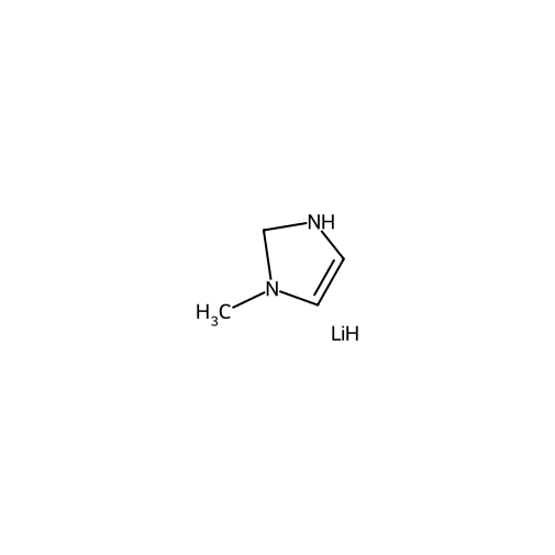 CN1C=CNC1.[LiH]